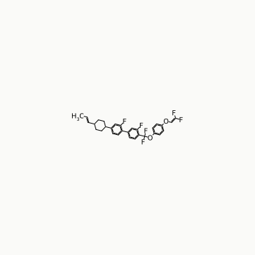 C/C=C/C1CCC(c2ccc(-c3ccc(C(F)(F)Oc4ccc(OC=C(F)F)cc4)c(F)c3)c(F)c2)CC1